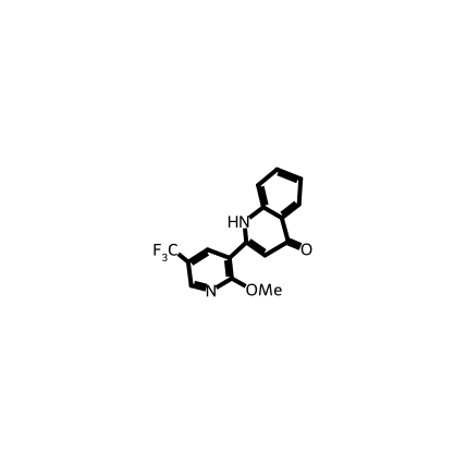 COc1ncc(C(F)(F)F)cc1-c1cc(=O)c2ccccc2[nH]1